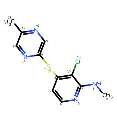 CNc1nccc([SH2]c2cnc(C)cn2)c1Cl